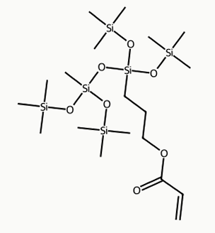 C=CC(=O)OCCC[Si](O[Si](C)(C)C)(O[Si](C)(C)C)O[Si](C)(O[Si](C)(C)C)O[Si](C)(C)C